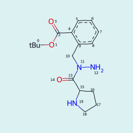 CC(C)(C)OC(=O)c1ccccc1CN(N)C(=O)C1CCCN1